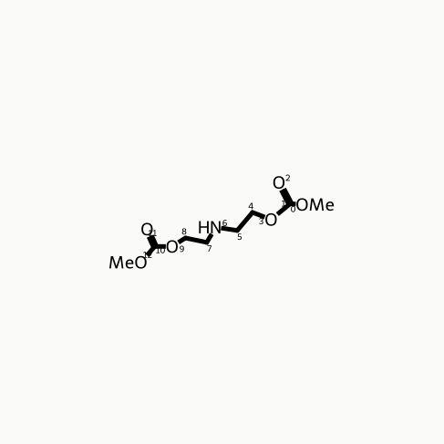 COC(=O)OCCNCCOC(=O)OC